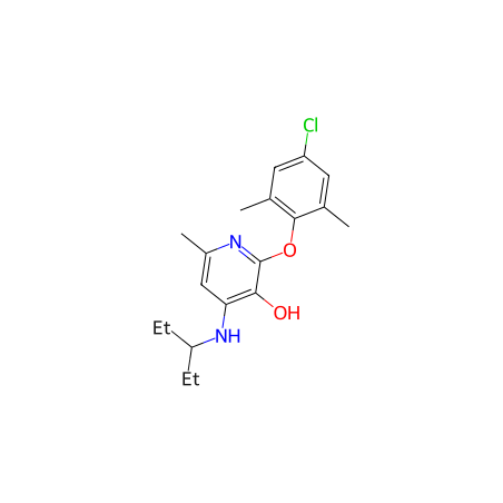 CCC(CC)Nc1cc(C)nc(Oc2c(C)cc(Cl)cc2C)c1O